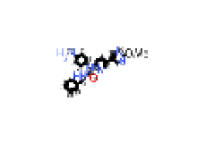 COc1ncc(-c2ccc(N(C(=O)NCc3ccccc3)[C@H]3CC[C@H](N)CC3)nc2)cn1